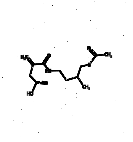 C=C(CC(=O)O)C(=O)NCCC(C)CSC(C)=O